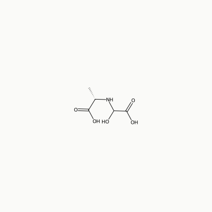 C[C@H](NC(O)C(=O)O)C(=O)O